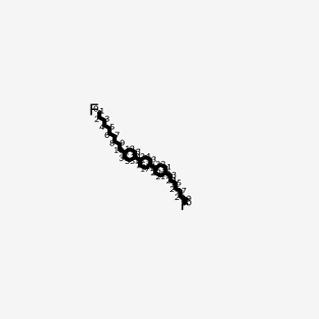 FCCCCCCCCCCC1CCC(C2CCC(C3CCC(CCCCCCCF)CC3)CC2)CC1